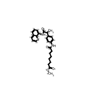 COC(=O)CCCCCCC(=O)Nc1ccc(C(C)C(=O)Nc2cccc3cccnc23)cc1